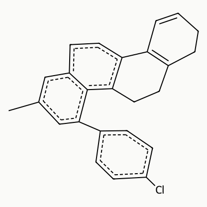 Cc1cc(-c2ccc(Cl)cc2)c2c3c(ccc2c1)C1=C(CCC=C1)CC3